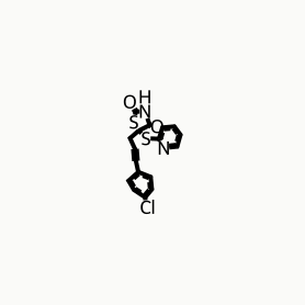 O=C1NC(=O)C(CC#Cc2ccc(Cl)cc2)(Sc2ccccn2)S1